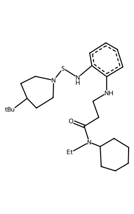 CCN(C(=O)CCNc1ccccc1NSN1CCC(C(C)(C)C)CC1)C1CCCCC1